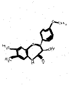 COc1ccc([C@@H]2Sc3cc(C)c(C)cc3NC(=O)[C@@H]2O)cc1